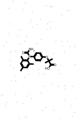 Cc1cc(C)c(N(C(N)=O)c2ccc(OC(C)(C)C(=O)O)cc2)c(C)c1